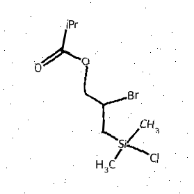 CC(C)C(=O)OCC(Br)C[Si](C)(C)Cl